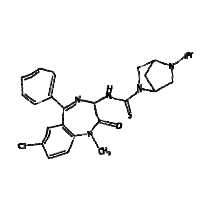 CC(C)N1CC2CC1CN2C(=S)NC1N=C(c2ccccc2)c2cc(Cl)ccc2N(C)C1=O